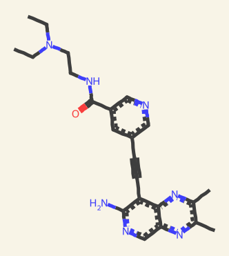 CCN(CC)CCNC(=O)c1cncc(C#Cc2c(N)ncc3nc(C)c(C)nc23)c1